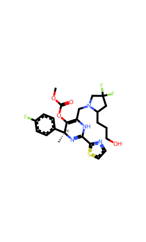 COC(=O)OC1=C(CN2CC(F)(F)CC2CCCO)NC(c2nccs2)=N[C@@]1(C)c1ccc(F)cc1